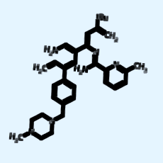 C=C\C(=C/C(=C\N)C(=C/C(=C)C(C)(C)C)/N=C(\N)c1cccc(C)n1)c1ccc(CN2CCN(C)CC2)cc1